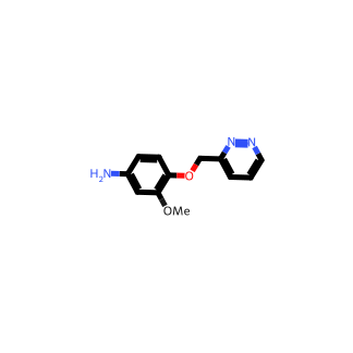 COc1cc(N)ccc1OCc1cccnn1